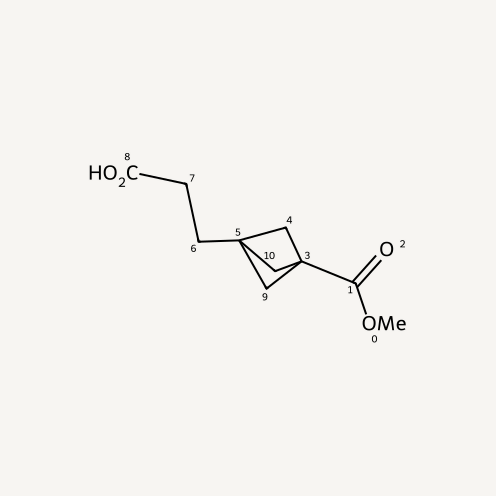 COC(=O)C12CC(CCC(=O)O)(C1)C2